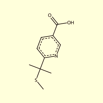 CSC(C)(C)c1ccc(C(=O)O)cn1